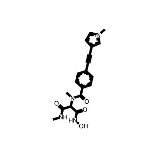 CNC(=O)C(C(=O)NO)N(C)C(=O)c1ccc(C#Cc2ccn(C)c2)cc1